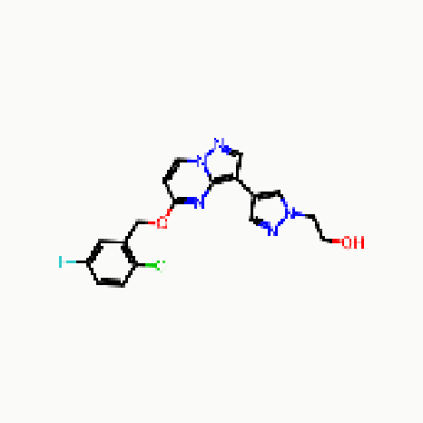 OCCn1cc(-c2cnn3ccc(OCc4cc(F)ccc4Cl)nc23)cn1